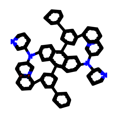 c1ccc(-c2cc(-c3ccccc3)cc(-c3c4ccc(N(c5cccnc5)c5cccnc5)cc4c(-c4cc(-c5ccccc5)cc(-c5ccccc5)c4)c4ccc(N(c5cccnc5)c5cccnc5)cc34)c2)cc1